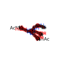 CC(=O)N[C@H]1[C@H]2OC[C@](COCCOCCOCCOCCn3cc(COCC(COCc4cn(CCOCCOCCOCCOC[C@@]56CO[C@@H](O5)[C@H](NC(C)=O)[C@@H](O)[C@H]6O)nn4)(COCc4cn(CCOCCOCCOCCOC[C@]56CO[C@H](C[C@@H](O)[C@H]5O)O6)nn4)NC(=O)CCCCCNC(=O)CCCCCOC4OCC(NC(=O)CCCCCSSc5ccccn5)CO4)nn3)(O2)[C@H](O)[C@@H]1O